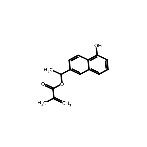 C=C(C)C(=O)OC(C)c1ccc2c(O)cccc2c1